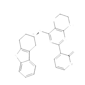 O=c1[nH]cccc1-c1nc2c(c(N[C@@H]3CCc4[nH]c5ccccc5c4C3)n1)OCCN2